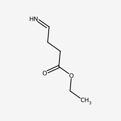 CCOC(=O)CCC=N